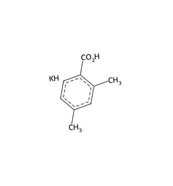 Cc1ccc(C(=O)O)c(C)c1.[KH]